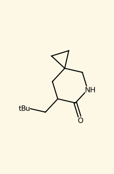 CC(C)(C)CC1CC2(CC2)CNC1=O